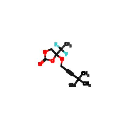 CC(C)(C)[Si](C)(C)C#CCOC1(C(F)(F)C(F)(F)F)COC(=O)O1